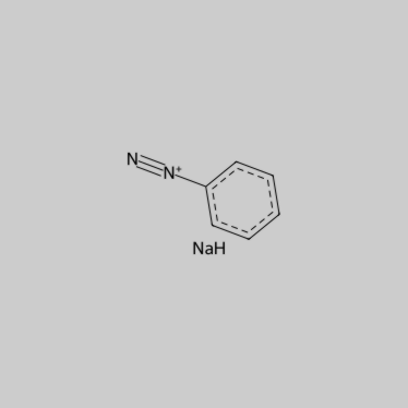 N#[N+]c1ccccc1.[NaH]